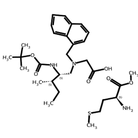 CC[C@H](C)[C@@H](CN(CC(=O)O)Cc1cccc2ccccc12)NC(=O)OC(C)(C)C.COC(=O)[C@@H](N)CCSC